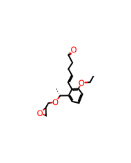 CCOc1cccc([C@@H](C)OCC2CO2)c1/C=C/CCC=O